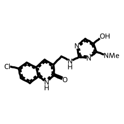 CNc1nc(NCc2cc3cc(Cl)ccc3[nH]c2=O)ncc1O